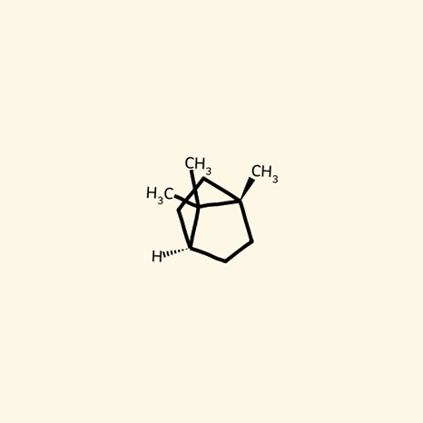 CC1(C)[C@H]2CC[C@@]1(C)CC2